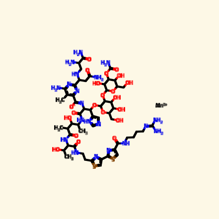 Cc1c(N)nc(C(CC(N)=O)NCC(N)C(N)=O)nc1C([O-])=NC(C(=O)NC(C)C(O)C(C)C(=O)NC(C(=O)NCCc1nc(-c2nc(C(=O)NCCCCN=C(N)N)cs2)cs1)C(C)O)C(OC1OC(CO)C(O)C(O)C1OC1OC(CO)C(O)C(OC(N)=O)C1O)c1cnc[nH]1.[Mn+3]